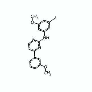 COc1cc(I)cc(Nc2nccc(-c3cccc(OC)c3)n2)c1